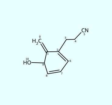 C=C1C(CCC#N)=CC=CC1O